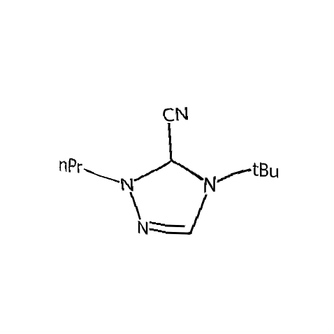 CCCN1N=CN(C(C)(C)C)C1C#N